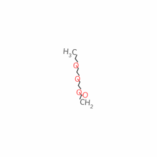 C=CC(=O)OCCCOCCCOCCCC